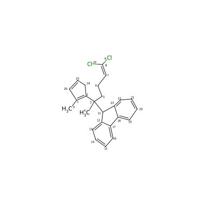 CC1=C(C(C)(CCC=C(Cl)Cl)C2c3ccccc3-c3ccccc32)CC=C1